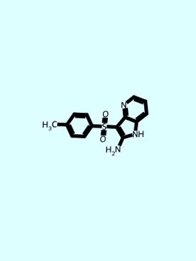 Cc1ccc(S(=O)(=O)c2c(N)[nH]c3cccnc23)cc1